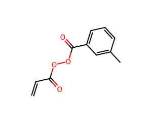 C=CC(=O)OOC(=O)c1cccc(C)c1